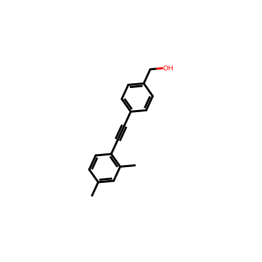 Cc1ccc(C#Cc2ccc(CO)cc2)c(C)c1